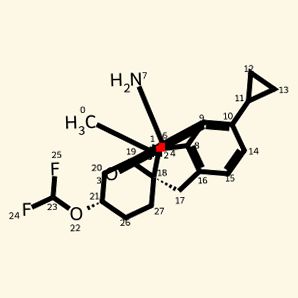 CN1C(=O)[C@]2(N=C1N)c1cc(C3CC3)ccc1C[C@]21CC[C@@H](OC(F)F)CC1